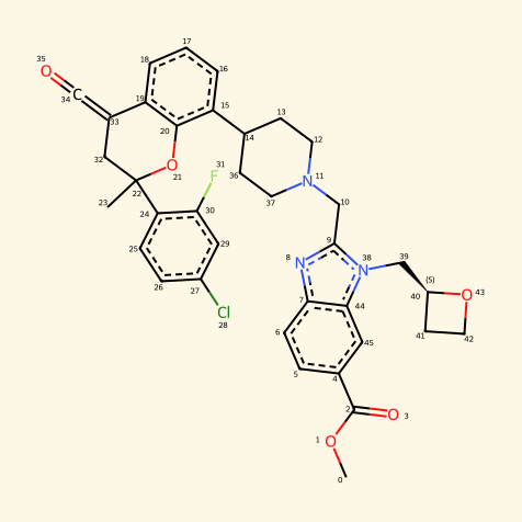 COC(=O)c1ccc2nc(CN3CCC(c4cccc5c4OC(C)(c4ccc(Cl)cc4F)CC5=C=O)CC3)n(C[C@@H]3CCO3)c2c1